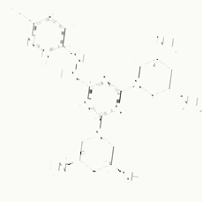 N[C@@H]1C[C@H](N)CN(c2nc(NNc3ccc(Cl)nn3)nc(N3C[C@H](N)C[C@H](N)C3)n2)C1